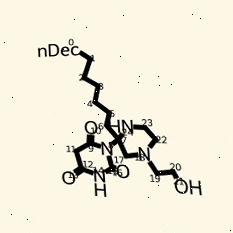 CCCCCCCCCCCCCCCCC1(N2C(=O)CC(=O)NC2=O)CN(CCO)CCN1